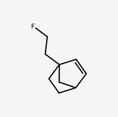 FCCC12C=CC(CC1)C2